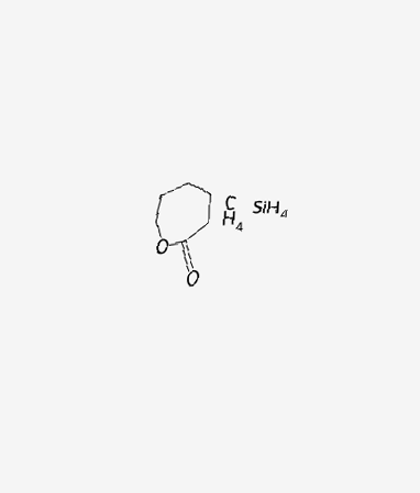 C.O=C1CCCCCO1.[SiH4]